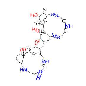 CC[C@@H]1C2CNCCNCCNCC3C[C@H](C[C@H]4C(O)C[C@@H]5CC4CNCCNCCNCC4CCCC(O)[C@@H]4C5)CC(O)[C@@H]3C[C@@H](C2)[C@H](C)C1O